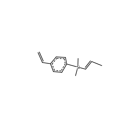 C=Cc1ccc([Si](C)(C)C=CC)cc1